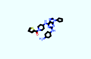 NC1CCC(Nc2nc(NC3CCN(C(=O)c4cccs4)CC3)c3ncn(C4CCCC4)c3n2)CC1